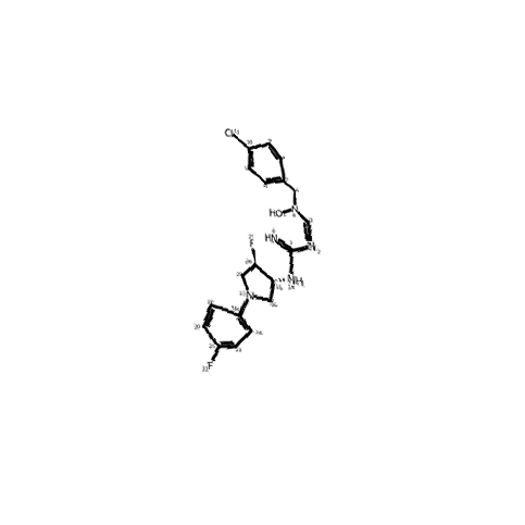 N=C(/N=C\N(O)Cc1ccc(Cl)cc1)N[C@@H]1CN(c2ccc(F)cc2)C[C@H]1F